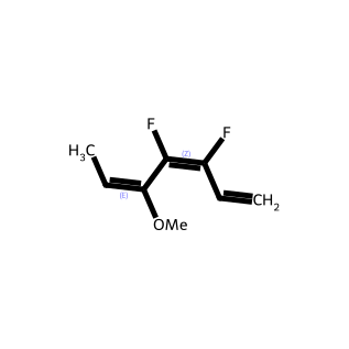 C=C/C(F)=C(F)\C(=C/C)OC